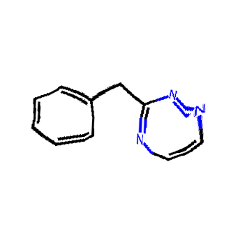 c1ccc(Cc2nccnn2)cc1